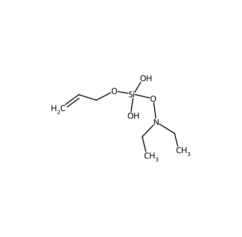 C=CCO[Si](O)(O)ON(CC)CC